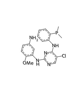 COc1ccc(N)cc1Nc1ncc(Cl)c(Nc2ccccc2P(C)C)n1